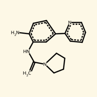 C=C(Nc1cc(-c2ccccn2)ccc1N)N1CCCC1